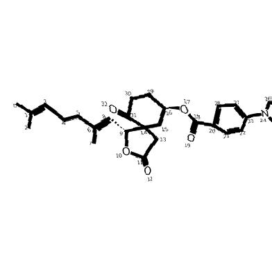 CC(C)=CCC/C(C)=C/[C@H]1OC(=O)CC12C[C@H](OC(=O)c1ccc(N(C)C)cc1)CCC2=O